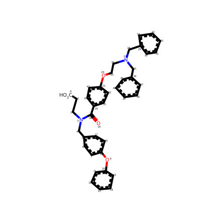 O=C(O)CCN(Cc1ccc(Oc2ccccc2)cc1)C(=O)c1ccc(OCCN(Cc2ccccc2)Cc2ccccc2)cc1